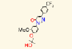 COc1cc(-n2cnc(-c3ccc(C(F)(F)F)cc3)cc2=O)ccc1OCC(C)(C)O